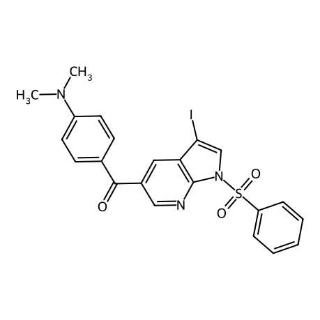 CN(C)c1ccc(C(=O)c2cnc3c(c2)c(I)cn3S(=O)(=O)c2ccccc2)cc1